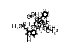 CN(C)CCc1c[nH]c2cccc(OC(=O)CN(C)C(=O)[C@H](Cc3ccccc3)NC(=O)OC(C)(C)C)c12.O=CO